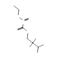 CCO[PH](=O)C(=O)OCC(F)(F)C(F)F